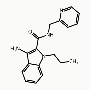 CCCn1c(C(=O)NCc2ccccn2)c(N)c2ccccc21